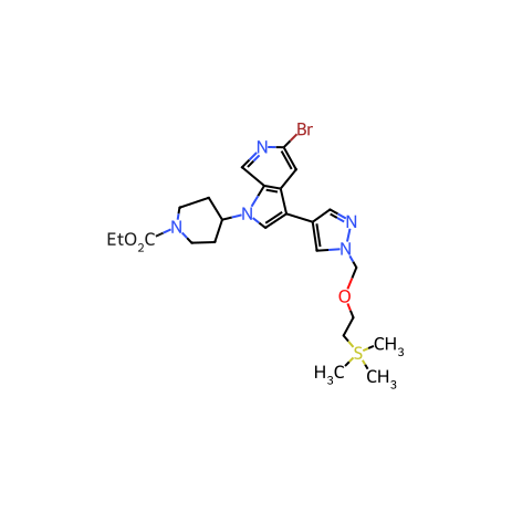 CCOC(=O)N1CCC(n2cc(-c3cnn(COCCS(C)(C)C)c3)c3cc(Br)ncc32)CC1